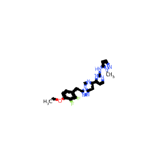 CCOc1ccc(Cc2nnc3cc(-c4ccnc(Nc5ccnn5C)n4)ncn23)c(F)c1F